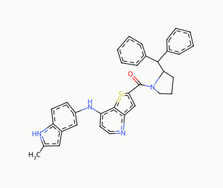 Cc1cc2cc(Nc3ccnc4cc(C(=O)N5CCCC5C(c5ccccc5)c5ccccc5)sc34)ccc2[nH]1